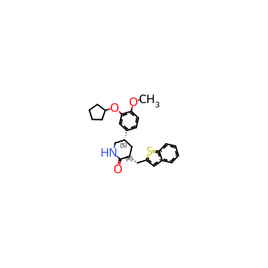 COc1ccc([C@H]2CNC(=O)[C@@H](Cc3cc4ccccc4s3)C2)cc1OC1CCCC1